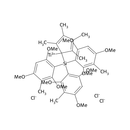 COc1cc(OC)c([Si](c2c(OC)cc(OC)c(C)c2OC)(c2c(OC)cc(OC)c(C)c2OC)[C]2([Ti+3])C(C)=C(C)C(C)=C2C)c(OC)c1C.[Cl-].[Cl-].[Cl-]